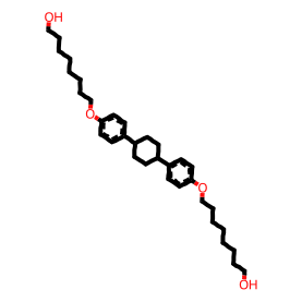 OCCCCCCCCOc1ccc(C2CCC(c3ccc(OCCCCCCCCO)cc3)CC2)cc1